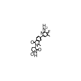 Cc1cc(-c2ccc3c(c2)C(C)N(C2CCC(=O)NC2=O)C3=O)nc(N)c1F